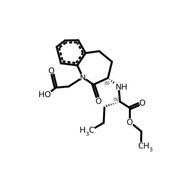 CCC[C@H](N[C@H]1CCc2ccccc2N(CC(=O)O)C1=O)C(=O)OCC